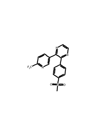 CS(=O)(=O)c1ccc(-c2nccnc2-c2ccc(C(F)(F)F)nc2)cc1